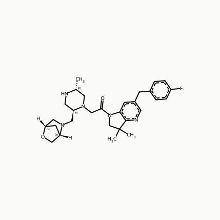 C[C@@H]1CN(CC(=O)N2CC(C)(C)c3ncc(Cc4ccc(F)cc4)cc32)[C@@H](CN2C[C@@H]3C[C@H]2CO3)CN1